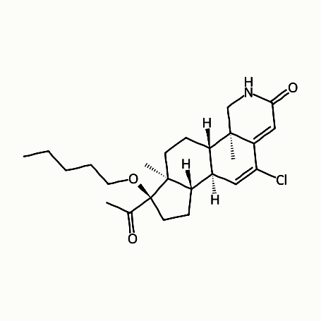 CCCCCO[C@]1(C(C)=O)CC[C@H]2[C@@H]3C=C(Cl)C4=CC(=O)NC[C@]4(C)[C@H]3CC[C@@]21C